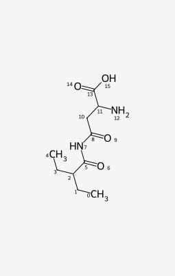 CCC(CC)C(=O)NC(=O)CC(N)C(=O)O